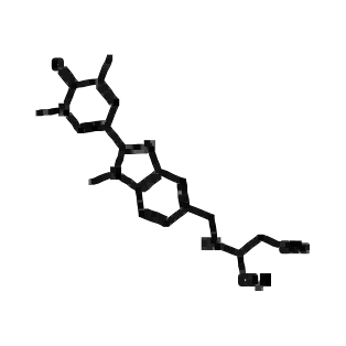 COCC(NCc1ccc2c(c1)nc(-c1cc(C)c(=O)n(C)c1)n2C)C(=O)O